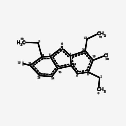 CCc1cc2c(sc3c(CC)c(I)ccc32)c(CC)c1Cl